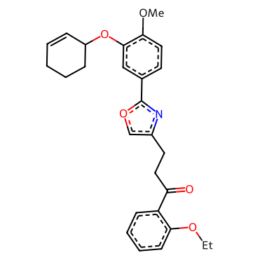 CCOc1ccccc1C(=O)CCc1coc(-c2ccc(OC)c(OC3C=CCCC3)c2)n1